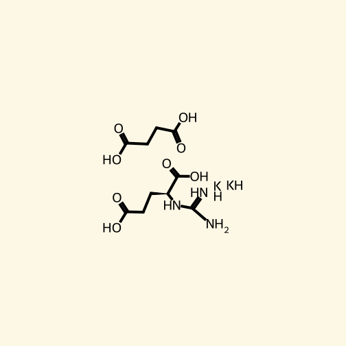 N=C(N)N[C@@H](CCC(=O)O)C(=O)O.O=C(O)CCC(=O)O.[KH].[KH]